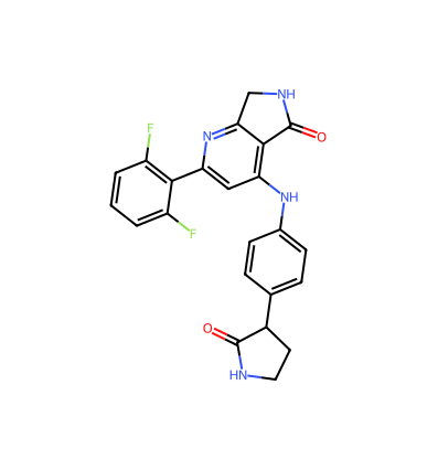 O=C1NCc2nc(-c3c(F)cccc3F)cc(Nc3ccc(C4CCNC4=O)cc3)c21